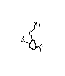 COc1ccc(OC)c(OCO)c1